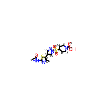 CC(=O)Nc1nc(C)c(-c2cnn(S(=O)(=O)C3CCN(C(=O)O)CC3)c2)s1